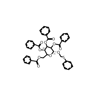 O=C(OCC1O[C@@H](OCSc2ccccc2)C(OC(=O)c2ccccc2)C(OC(=O)c2ccccc2)[C@@H]1OC(=O)c1ccccc1)c1ccccc1